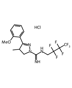 COc1ccccc1C1=NN(C(=N)NCC(F)(F)C(F)(F)C(F)(F)F)CC1C.Cl